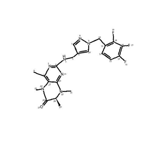 Cc1nc(NCc2cnn(Cc3ccc(F)c(F)c3F)c2)nc2c1N(C)C(=O)[C@H](C)N2C